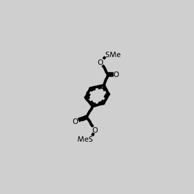 CSOC(=O)c1ccc(C(=O)OSC)cc1